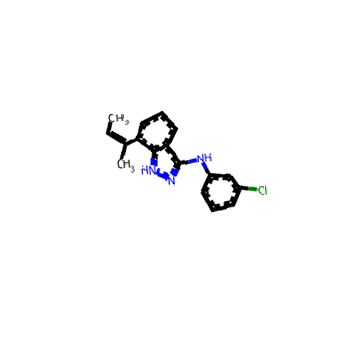 C/C=C(/C)c1cccc2c(Nc3cccc(Cl)c3)n[nH]c12